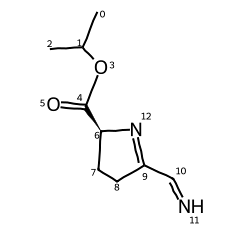 CC(C)OC(=O)[C@@H]1CCC(C=N)=N1